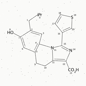 CC(C)Cc1cc2c(cc1O)CCc1c(C(=O)O)nc(-c3ccsc3)n1-2